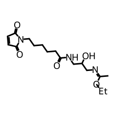 CCOC(C)=NCC(O)CNC(=O)CCCCCN1C(=O)C=CC1=O